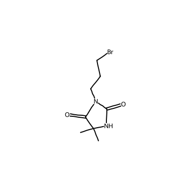 CC1(C)NC(=O)N(CCCBr)C1=O